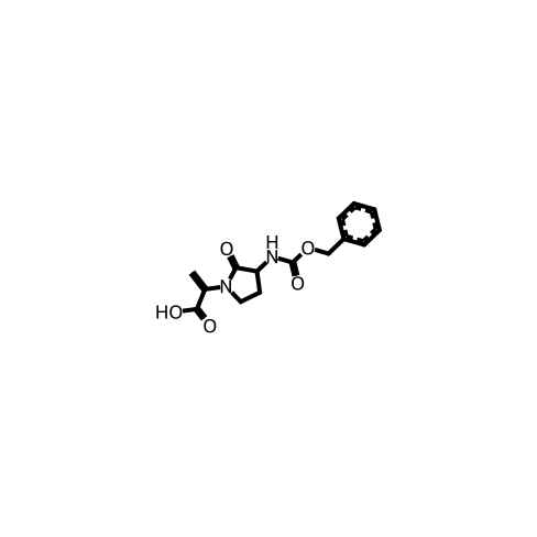 C=C(C(=O)O)N1CCC(NC(=O)OCc2ccccc2)C1=O